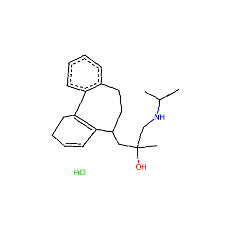 CC(C)NCC(C)(O)CC1CCc2ccccc2C2=C1C=CCC2.Cl